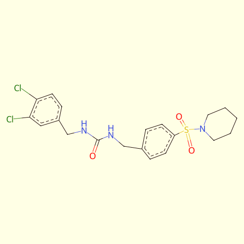 O=C(NCc1ccc(S(=O)(=O)N2CCCCC2)cc1)NCc1ccc(Cl)c(Cl)c1